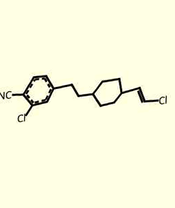 N#Cc1ccc(CCC2CCC(/C=C/Cl)CC2)cc1Cl